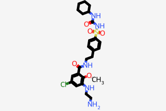 COc1c(NCCN)cc(Cl)cc1C(=O)NCCc1ccc(S(=O)(=O)NC(=O)NC2CCCCC2)cc1